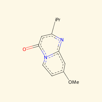 COc1ccn2c(=O)cc(C(C)C)nc2c1